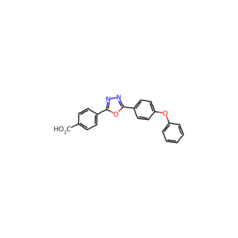 O=C(O)c1ccc(-c2nnc(-c3ccc(Oc4ccccc4)cc3)o2)cc1